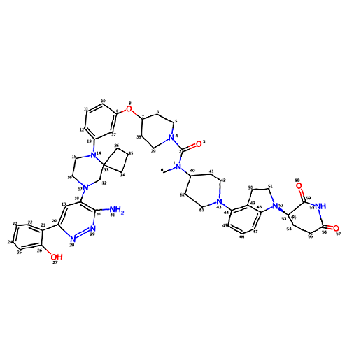 CN(C(=O)N1CCC(Oc2cccc(N3CCN(c4cc(-c5ccccc5O)nnc4N)CC34CCC4)c2)CC1)C1CCN(c2cccc3c2CCN3[C@@H]2CCC(=O)NC2=O)CC1